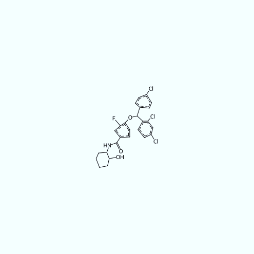 O=C(NC1CCCCC1O)c1ccc(OC(c2ccc(Cl)cc2)c2ccc(Cl)cc2Cl)c(F)c1